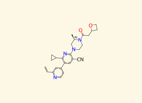 C=Cc1cc(-c2cc(C#N)c(N3CCN(C(=O)CC4CCO4)[C@H](C)C3)nc2C2CC2)ccn1